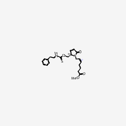 COC(=O)CCC/C=C\CN1C(=O)CC[C@@H]1COC(=S)NCCc1ccccc1